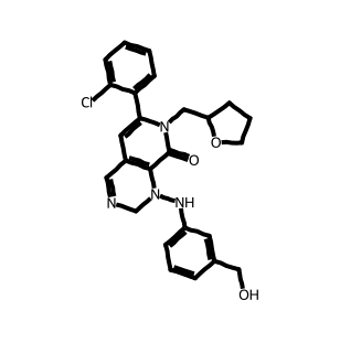 O=c1c2c(cc(-c3ccccc3Cl)n1CC1CCCO1)C=NCN2Nc1cccc(CO)c1